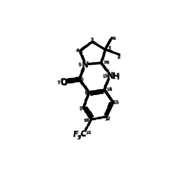 CC1(C)CCN2C(=O)c3cc(C(F)(F)F)ccc3NC21